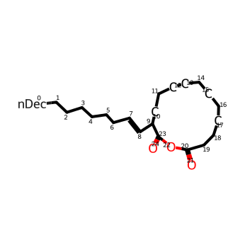 CCCCCCCCCCCCCCCCC=CC1CCCCCCCCCCC(=O)OC1=O